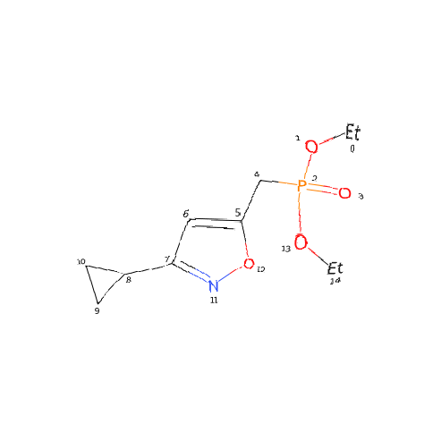 CCOP(=O)(Cc1cc(C2CC2)no1)OCC